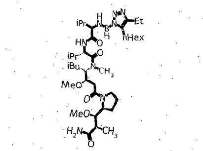 CCCCCCc1c(CC)nnn1BNC(C(=O)N[C@H](C(=O)N(C)[C@@H]([C@@H](C)CC)[C@@H](CC(=O)N1CCC[C@H]1[C@H](OC)[C@@H](C)C(N)=O)OC)C(C)C)C(C)C